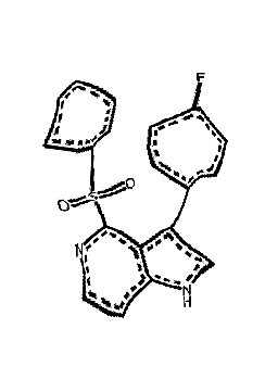 O=S(=O)(c1ccccc1)c1nccc2[nH]cc(-c3ccc(F)cc3)c12